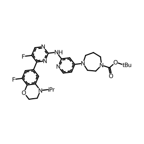 CC(C)N1CCOc2c(F)cc(-c3nc(Nc4cc(N5CCCN(C(=O)OC(C)(C)C)CC5)ccn4)ncc3F)cc21